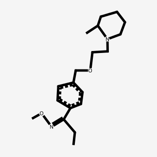 CC/C(=N/OC)c1ccc(COCCN2CCCCC2C)cc1